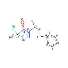 CC(C=Cc1ccccc1)NC(=O)C(F)(F)F